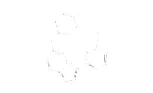 OC1CCC(Nc2ccc3ncc(-c4cccc(F)c4)n3n2)CC1